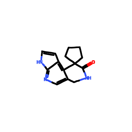 O=C1NCc2cnc3[nH]ccc3c2C12CCCC2